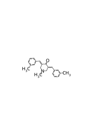 Cc1cccc(C=C2CN(C)CC(=Cc3cccc(C)c3)C2=O)c1